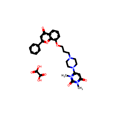 Cn1c(N2CCN(CCCOc3cccc4c(=O)cc(-c5ccccc5)oc34)CC2)cc(=O)n(C)c1=O.O=C(O)C(=O)O